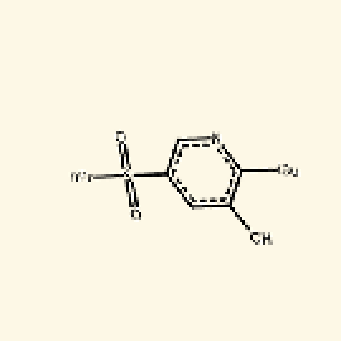 CCCS(=O)(=O)c1cnc(C(C)CC)c(O)c1